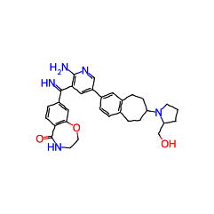 N=C(c1ccc2c(c1)OCCNC2=O)c1cc(-c2ccc3c(c2)CCC(N2CCCC2CO)CC3)cnc1N